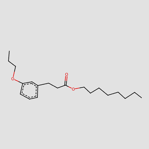 CCCCCCCCOC(=O)CCc1cccc(OCCC)c1